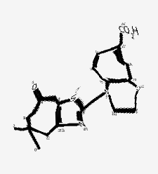 CC1(C)CC(=O)c2sc(N3CCOc4cc(C(=O)O)ccc43)nc2C1